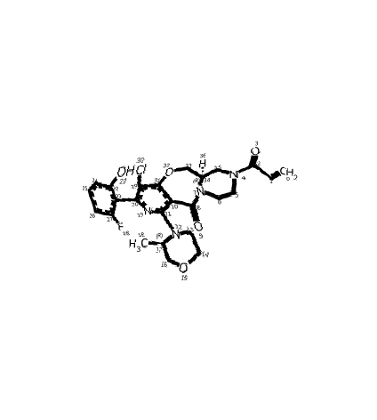 C=CC(=O)N1CCN2C(=O)c3c(N4CCOC[C@H]4C)nc(-c4c(O)cccc4F)c(Cl)c3OC[C@H]2C1